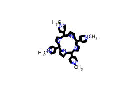 C[n+]1ccc(C2=C3C=CC(=N3)C(c3cc[n+](C)cc3)=C3C=CC(=N3)C(c3cc[n+](C)cc3)=C3C=CC(=N3)C(c3cc[n+](C)cc3)=C3C=CC2=N3)cc1